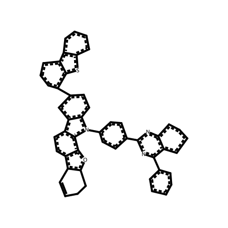 C1=Cc2c(oc3c2ccc2c4cc(-c5cccc6c5sc5ccccc56)ccc4n(-c4ccc(-c5nc(-c6ccccc6)c6ccccc6n5)cc4)c23)CC1